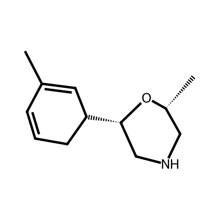 CC1=CC([C@H]2CNC[C@@H](C)O2)CC=C1